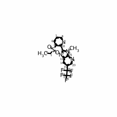 CCS(=O)(=O)c1cccnc1-c1nc2cc(C(F)(F)C(F)(F)F)cnc2n1C